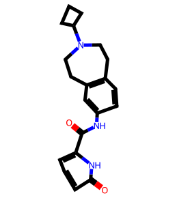 O=C(Nc1ccc2c(c1)CCN(C1CCC1)CC2)c1cccc(=O)[nH]1